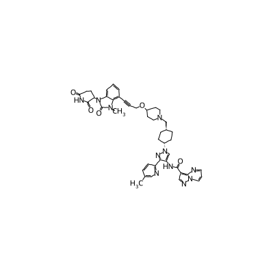 Cc1ccc(-c2nn([C@H]3CC[C@H](CN4CCC(OCC#Cc5cccc6c5n(C)c(=O)n6C5CCC(=O)NC5=O)CC4)CC3)cc2NC(=O)c2cnn3cccnc23)nc1